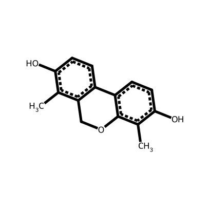 Cc1c(O)ccc2c1COc1c-2ccc(O)c1C